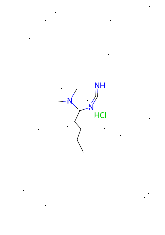 CCCCC(N=C=N)N(C)C.Cl